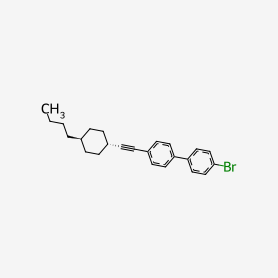 CCCC[C@H]1CC[C@H](C#Cc2ccc(-c3ccc(Br)cc3)cc2)CC1